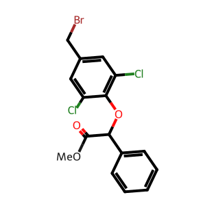 COC(=O)C(Oc1c(Cl)cc(CBr)cc1Cl)c1ccccc1